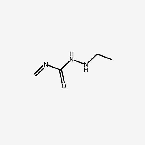 C=NC(=O)NNCC